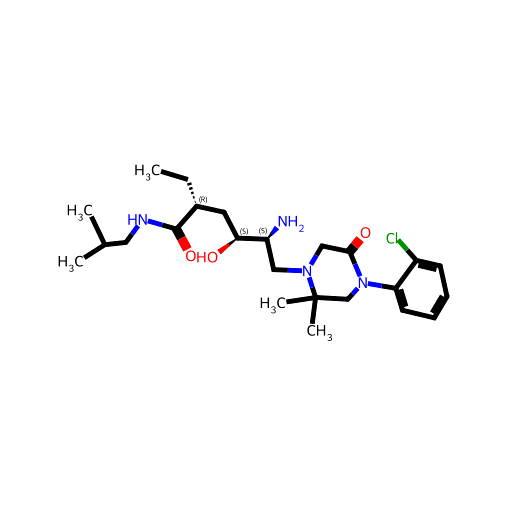 CC[C@H](C[C@H](O)[C@@H](N)CN1CC(=O)N(c2ccccc2Cl)CC1(C)C)C(=O)NCC(C)C